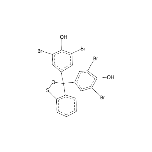 Oc1c(Br)cc(C2(c3cc(Br)c(O)c(Br)c3)OSc3ccccc32)cc1Br